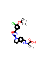 CC(C)Oc1ccc(-c2nc(N3CCCc4cc(CNC(C)C(=O)O)ccc43)no2)cc1Cl